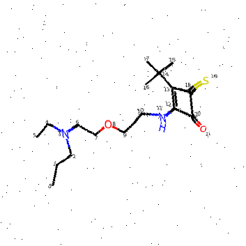 CCCN(CC)CCOCCNc1c(C(C)(C)C)c(=S)c1=O